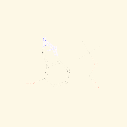 CC(C)(C)OC=O.Oc1cccc2c1c1nn2-1